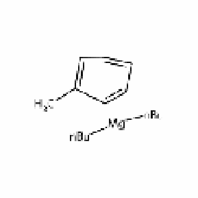 CCC[CH2][Mg][CH2]CCC.Cc1ccccc1